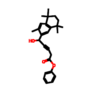 Cc1cc2c(cc1C(O)C#CCC(=O)Oc1ccccc1)C(C)(C)CCC2(C)C